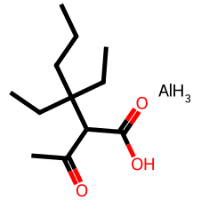 CCCC(CC)(CC)C(C(C)=O)C(=O)O.[AlH3]